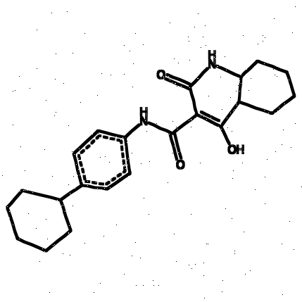 O=C(Nc1ccc(C2CCCCC2)cc1)C1=C(O)C2CCCCC2NC1=O